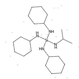 CC(C)N[Si](NC1CCCCC1)(NC1CCCCC1)NC1CCCCC1